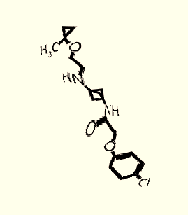 CC1(OCCNC23CC(NC(=O)COc4ccc(Cl)cc4)(C2)C3)CC1